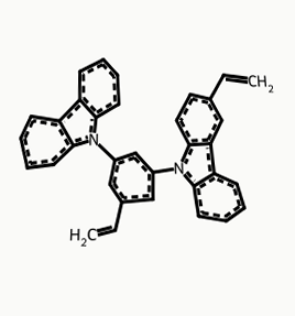 C=Cc1cc(-n2c3ccccc3c3ccccc32)cc(-n2c3ccccc3c3cc(C=C)ccc32)c1